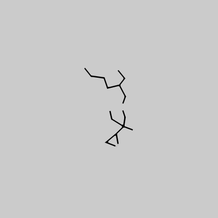 CCCCC(CC)COCC(C)(CC)C1CO1